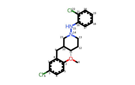 COc1ccc(Cl)cc1CC1CCCN(Nc2ccc[c]c2Cl)C1